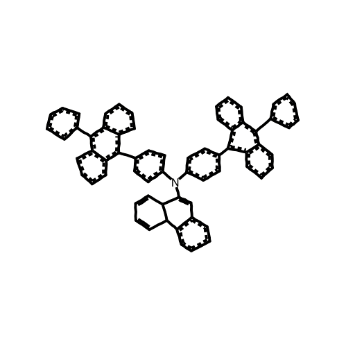 C1=CC2C(N(c3ccc(-c4c5ccccc5c(-c5ccccc5)c5ccccc45)cc3)c3ccc(-c4c5ccccc5c(-c5ccccc5)c5ccccc45)cc3)=Cc3ccccc3C2C=C1